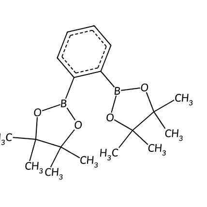 CC1(C)OB(c2ccccc2B2OC(C)(C)C(C)(C)O2)OC1(C)C